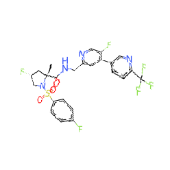 C[C@]1(C(=O)NCc2cc(-c3ccc(C(F)(F)F)nc3)c(F)cn2)C[C@@H](F)CN1S(=O)(=O)c1ccc(F)cc1